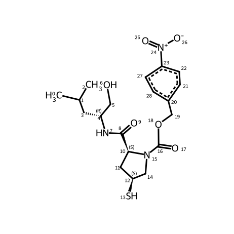 CC(C)C[C@H](CO)NC(=O)[C@@H]1C[C@H](S)CN1C(=O)OCc1ccc([N+](=O)[O-])cc1